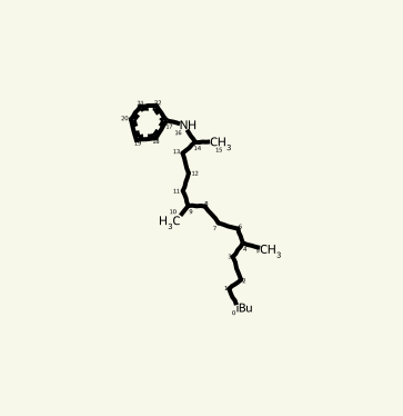 CCC(C)CCCC(C)CCCC(C)CCCC(C)Nc1ccccc1